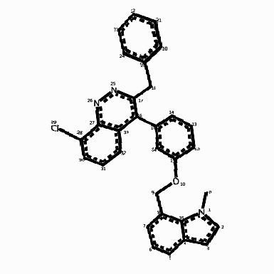 Cn1ccc2cccc(COc3cccc(-c4c(Cc5ccccc5)nnc5c(Cl)cccc45)c3)c21